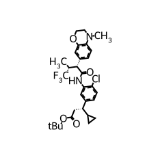 C[C@H]([C@@H](C(=O)Nc1cc([C@@H](CC(=O)OC(C)(C)C)C2CC2)ccc1Cl)c1ccc2c(c1)OCCN2C)C(F)(F)F